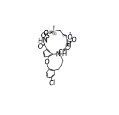 COC1(C=O)/C=C/C[C@H](C)[C@@H](C)S(=O)(=O)NC(=O)c2ccc3c(c2)N(CCCCc2cc(Cl)ccc2CO3)C[C@@H]2CC[C@H]21